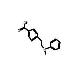 CN(CCc1ccc(C(=O)O)cc1)c1ccccc1